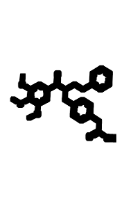 COc1cc(C(=O)C(CCc2ccccc2)Cc2ccc(CC(=O)O)cc2)cc(OC)c1OC